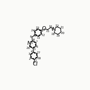 Clc1ccc(-c2ccc(Cc3ccc(OCCN4CCCCC4)cc3)nc2)cc1